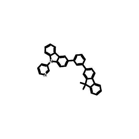 CC1(C)c2ccccc2-c2ccc(-c3cccc(-c4ccc5c(c4)c4ccccc4n5-c4cccnc4)c3)cc21